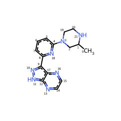 CC1CN(c2cccc(-c3n[nH]c4nccnc34)n2)CCN1